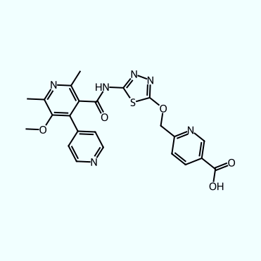 COc1c(C)nc(C)c(C(=O)Nc2nnc(OCc3ccc(C(=O)O)cn3)s2)c1-c1ccncc1